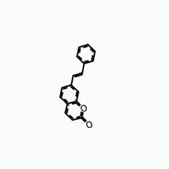 O=c1ccc2ccc(C=Cc3ccccc3)cc2o1